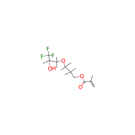 C=C(C)C(=O)OCC(C)(C)C(C)(C)OC(C)(C)C(C)(O)C(F)(F)F